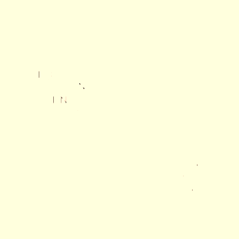 Cc1[nH]cc(CCCCCCCCC(=O)O)[n+]1-c1ccccc1